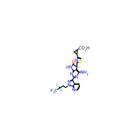 C[C@@]1(c2nc(C3CC3C(=O)O)cs2)C(=O)Nc2nc(-c3nn(CCC(F)(F)C(F)(F)F)c4ncccc34)nc(N)c21